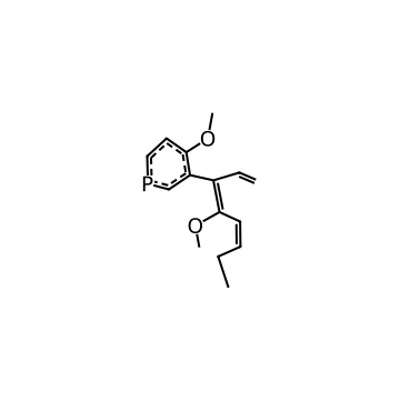 C=C/C(=C(\C=C/CC)OC)c1cpccc1OC